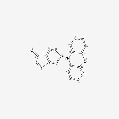 O=C1C=Cc2cc(N3c4ccccc4Oc4ccccc43)ccc21